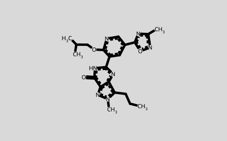 CCCc1c2nc(-c3cc(-c4nc(C)no4)cnc3OCC(C)C)[nH]c(=O)c2nn1C